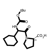 CC(C)(C)OC(=O)NC(C(=O)N1CCC[C@H]1C(=O)O)C1CCCCC1